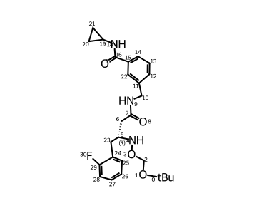 CC(C)(C)OCON[C@@H](CC(=O)NCc1cccc(C(=O)NC2CC2)c1)Cc1ccccc1F